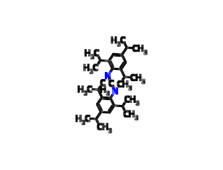 CC(C)c1cc(C(C)C)c(N=C=Nc2c(C(C)C)cc(C(C)C)cc2C(C)C)c(C(C)C)c1